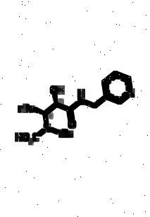 CCCC[C@@H]([C@@H](O)C(=O)NCc1cccnc1)N(C(=O)O)C(C)(C)C